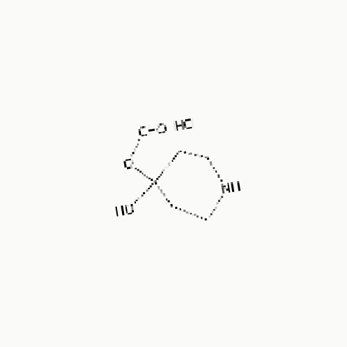 Cl.O=COC1(O)CCNCC1